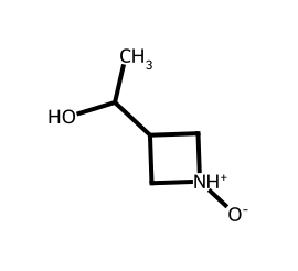 CC(O)C1C[NH+]([O-])C1